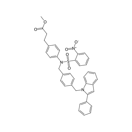 COC(=O)CCc1ccc(N(Cc2ccc(Cn3c(-c4ccccc4)cc4ccccc43)cc2)S(=O)(=O)c2ccccc2[N+](=O)[O-])cc1